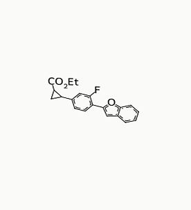 CCOC(=O)C1CC1c1ccc(-c2cc3ccccc3o2)c(F)c1